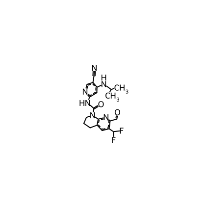 CC(C)Nc1cc(NC(=O)N2CCCc3cc(C(F)F)c(C=O)nc32)ncc1C#N